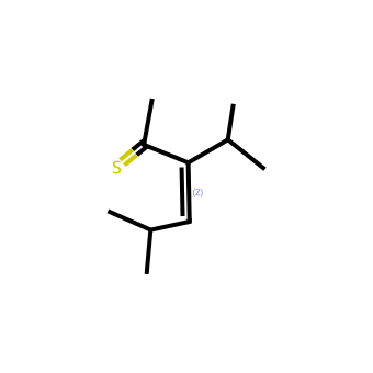 CC(=S)/C(=C\C(C)C)C(C)C